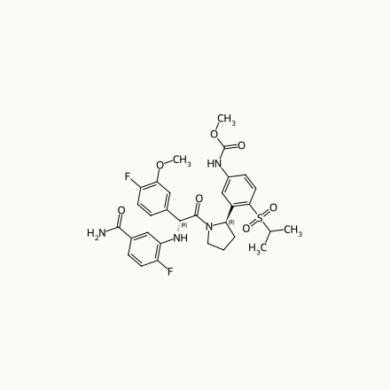 COC(=O)Nc1ccc(S(=O)(=O)C(C)C)c([C@H]2CCCN2C(=O)[C@H](Nc2cc(C(N)=O)ccc2F)c2ccc(F)c(OC)c2)c1